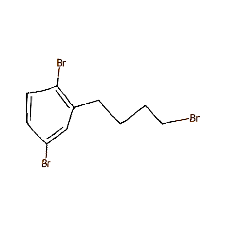 BrCCCCc1cc(Br)ccc1Br